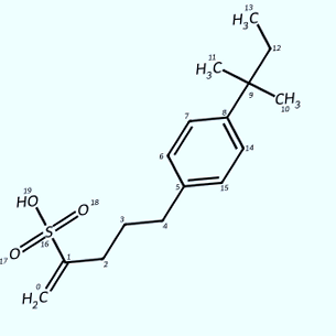 C=C(CCCc1ccc(C(C)(C)CC)cc1)S(=O)(=O)O